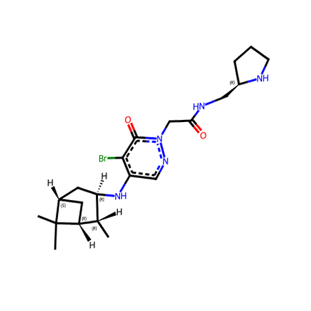 C[C@@H]1[C@H]2C[C@@H](C[C@H]1Nc1cnn(CC(=O)NC[C@H]3CCCN3)c(=O)c1Br)C2(C)C